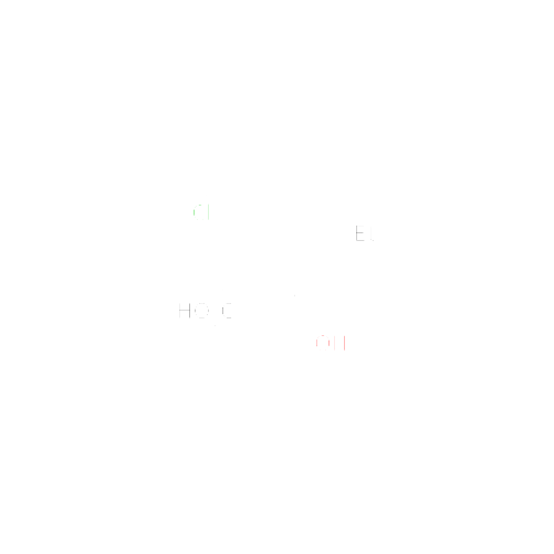 CCC(CCl)C(O)C(=O)O